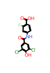 O=C(Nc1ccc(C(=O)O)c(F)c1)c1cc(Cl)c(O)c(Cl)c1